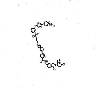 CC1(N)CCN(c2cnc(Sc3cccc(NC(=O)CCCCN4CC5(CCN(c6ccc(C(=O)NCc7ccc8c(c7)CN(C7CCC(=O)NC7=O)C8=O)nn6)C5)C4)c3)cn2)CC1